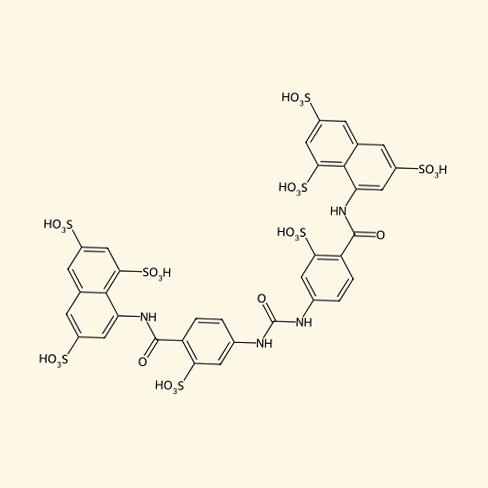 O=C(Nc1ccc(C(=O)Nc2cc(S(=O)(=O)O)cc3cc(S(=O)(=O)O)cc(S(=O)(=O)O)c23)c(S(=O)(=O)O)c1)Nc1ccc(C(=O)Nc2cc(S(=O)(=O)O)cc3cc(S(=O)(=O)O)cc(S(=O)(=O)O)c23)c(S(=O)(=O)O)c1